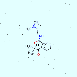 CN(C)CCNC(=O)[C@H]1C2CCC(C2)[C@H]1C(=O)C(C)(C)C